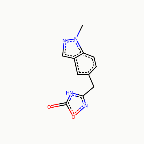 Cn1ncc2cc(Cc3noc(=O)[nH]3)ccc21